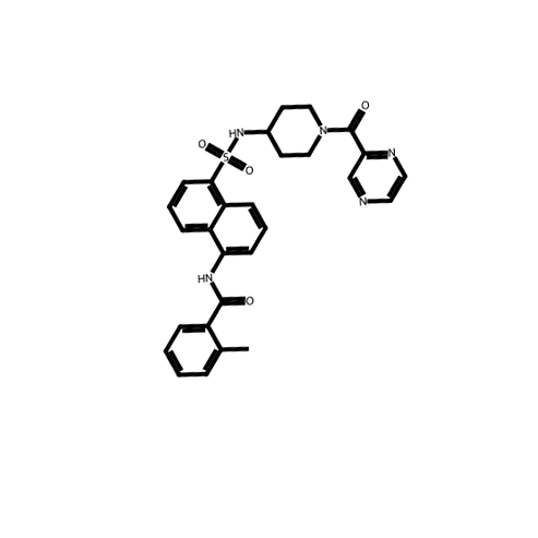 Cc1ccccc1C(=O)Nc1cccc2c(S(=O)(=O)NC3CCN(C(=O)c4cnccn4)CC3)cccc12